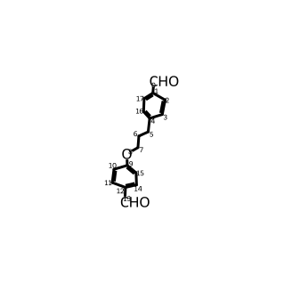 O=Cc1ccc(CCCOc2ccc(C=O)cc2)cc1